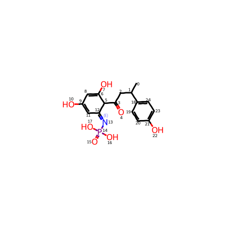 CC(CC(=O)C1C(O)=CC(O)=C/C1=N\P(=O)(O)O)c1ccc(O)cc1